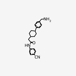 N#Cc1ccc(NC(=O)CC2CCC(c3ccc(CN)cc3)CC2)cc1